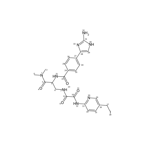 CN(C)C(=O)C(CNC(=O)C(=O)Nc1ccc(CI)cn1)NC(=O)c1ccc(-c2c[nH]c(N)n2)cc1